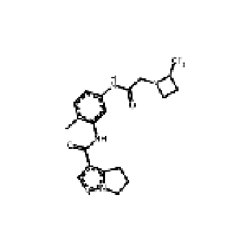 Cc1ccc(NC(=O)CN2CCC2C(F)(F)F)cc1NC(=O)c1cnn2c1CCC2